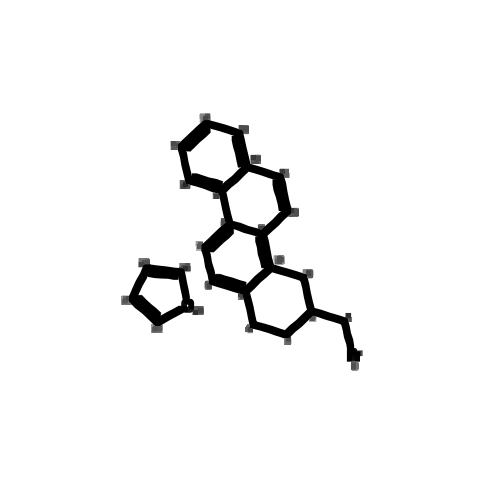 BrCC1CCc2ccc3c(ccc4ccccc43)c2C1.c1ccoc1